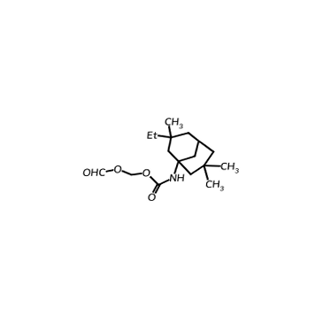 CCC1(C)CC2CC(C)(C)CC(NC(=O)OCOC=O)(C2)C1